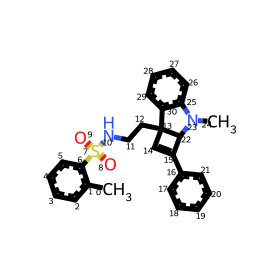 Cc1ccccc1S(=O)(=O)NCCC12C=C(c3ccccc3)C1N(C)c1ccccc12